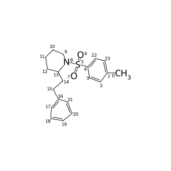 Cc1ccc(S(=O)(=O)N2CCCCC2CCc2ccccc2)cc1